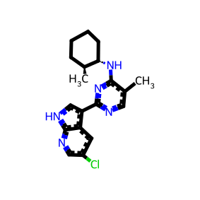 Cc1cnc(-c2c[nH]c3ncc(Cl)cc23)nc1N[C@H]1CCCC[C@@H]1C